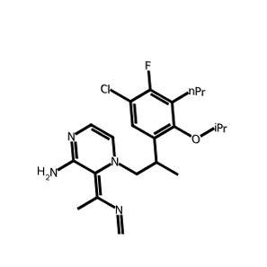 C=N/C(C)=C1/C(N)=NC=CN1CC(C)c1cc(Cl)c(F)c(CCC)c1OC(C)C